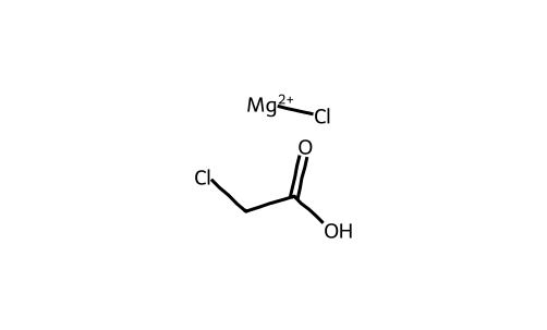 O=C(O)CCl.[Mg+2][Cl]